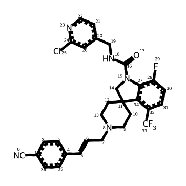 N#Cc1ccc(/C=C/CN2CCC3(CC2)CN(C(=O)NCc2ccnc(Cl)c2)c2c(F)ccc(C(F)(F)F)c23)cc1